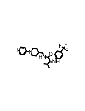 CC(C)[C@@H](Nc1ccc(C(F)(F)F)cc1)C(=O)NCC1CCN(c2ccncc2)CC1